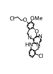 COc1cc2c(cc1OCCCl)C=Nc1c(Nc3cccc(Cl)c3F)ncnc1O2